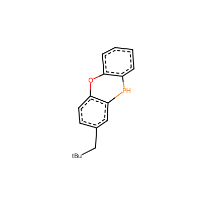 CC(C)(C)Cc1ccc2c(c1)Pc1ccccc1O2